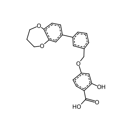 O=C(O)c1ccc(OCc2cccc(-c3ccc4c(c3)OCCCO4)c2)cc1O